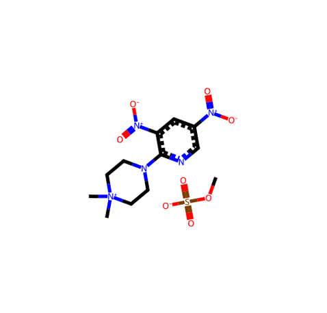 COS(=O)(=O)[O-].C[N+]1(C)CCN(c2ncc([N+](=O)[O-])cc2[N+](=O)[O-])CC1